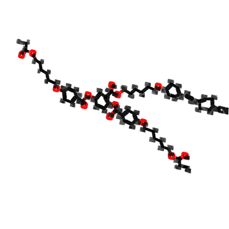 C=CC(=O)OCCCCCCOc1ccc(C(=O)Oc2ccc(OC(=O)c3ccc(OCCCCCCOC(=O)C=C)cc3)c(C(=O)OCCCCCCOc3ccc(C#Cc4ccc(C#N)cc4)cc3)c2)cc1